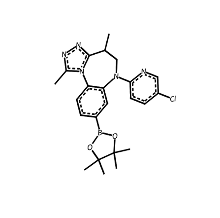 Cc1nnc2n1-c1ccc(B3OC(C)(C)C(C)(C)O3)cc1N(c1ccc(Cl)cn1)CC2C